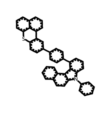 c1ccc(-n2c3cccc(-c4ccc(-c5ccc6c(c5)-c5cccc7cccc(c57)S6)cc4)c3c3c4ccccc4ccc32)cc1